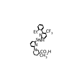 CCc1ccccc1-c1nc(NSc2cccc(N3CCC[C@@](C)(C(=O)O)C3)n2)ccc1C(F)(F)F